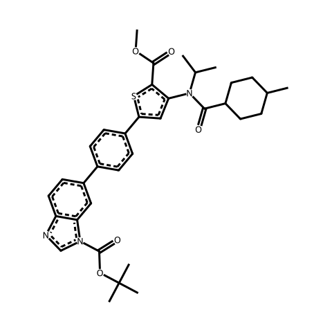 COC(=O)c1sc(-c2ccc(-c3ccc4ncn(C(=O)OC(C)(C)C)c4c3)cc2)cc1N(C(=O)C1CCC(C)CC1)C(C)C